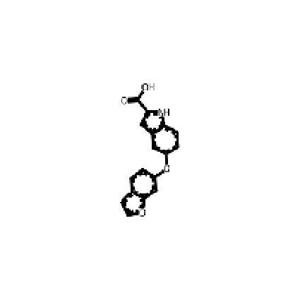 O=C(O)c1cc2cc(Oc3ccc4ccoc4c3)ccc2[nH]1